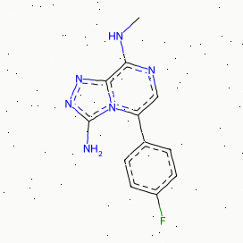 CNc1ncc(-c2ccc(F)cc2)n2c(N)nnc12